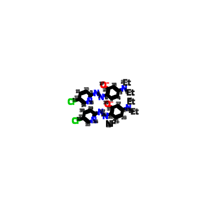 CCN(CC)c1ccc(N=Nc2ccc(Cl)cn2)c([O-])c1.CCN(CC)c1ccc(N=Nc2ccc(Cl)cn2)c([O-])c1.[Ni+2]